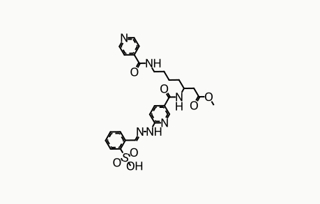 COC(=O)CC(CCCCNC(=O)c1ccncc1)NC(=O)c1ccc(NN=Cc2ccccc2S(=O)(=O)O)nc1